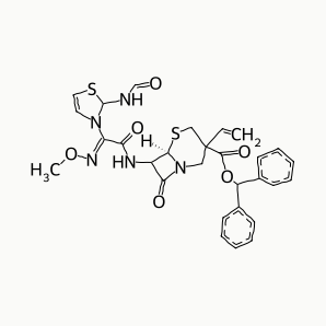 C=CC1(C(=O)OC(c2ccccc2)c2ccccc2)CS[C@@H]2C(NC(=O)C(=NOC)N3C=CSC3NC=O)C(=O)N2C1